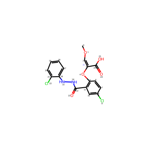 CO/C=C(/Oc1ccc(Cl)cc1C(=O)NNc1ccccc1Cl)C(=O)O